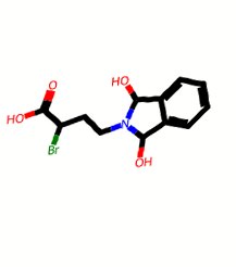 O=C(O)C(Br)CCN1C(O)c2ccccc2C1O